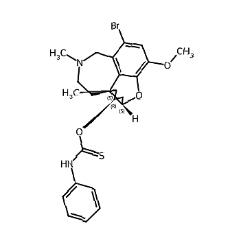 COc1cc(Br)c2c3c1O[C@H]1C[C@@H](OC(=S)Nc4ccccc4)C(C)[C@@]31CCN(C)C2